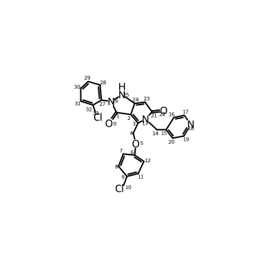 O=c1c2c(COc3ccc(Cl)cc3)n(Cc3ccncc3)c(=O)cc2[nH]n1-c1ccccc1Cl